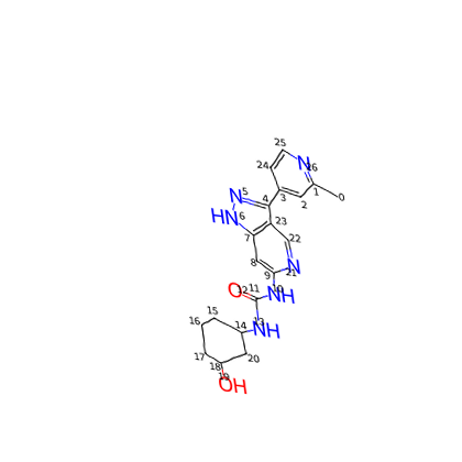 Cc1cc(-c2n[nH]c3cc(NC(=O)NC4CCCC(O)C4)ncc23)ccn1